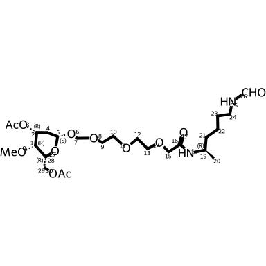 CO[C@@H]1[C@H](OC(C)=O)C[C@H](OCOCCOCCOCC(=O)N[C@H](C)CCCCNC=O)O[C@@H]1COC(C)=O